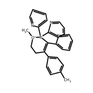 Cc1ccc(C2=C(c3ccccn3)[B-](c3ccccn3)(c3ccccn3)[O+](C)CC2)cc1